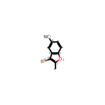 Cc1oc2ccc(C#N)cc2c1Br